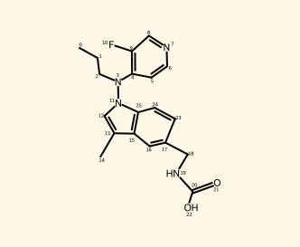 CCCN(c1ccncc1F)n1cc(C)c2cc(CNC(=O)O)ccc21